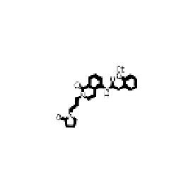 CCOc1ccccc1CC(=O)Nc1cccc2c(=O)n(CCCN3CCCC3=O)ccc12